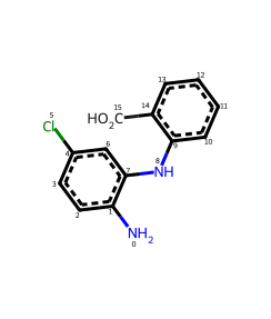 Nc1ccc(Cl)cc1Nc1ccccc1C(=O)O